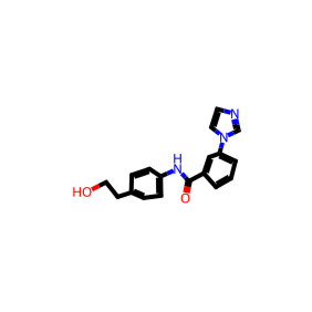 O=C(Nc1ccc(CCO)cc1)c1cccc(-n2ccnc2)c1